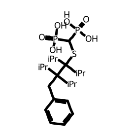 CC(C)C(Cc1ccccc1)(C(C)C)C(SC(P(=O)(O)O)P(=O)(O)O)(C(C)C)C(C)C